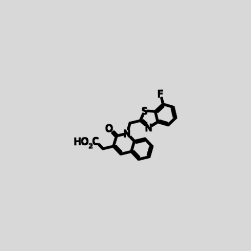 O=C(O)Cc1cc2ccccc2n(Cc2nc3cccc(F)c3s2)c1=O